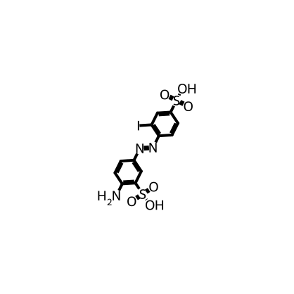 Nc1ccc(N=Nc2ccc(S(=O)(=O)O)cc2I)cc1S(=O)(=O)O